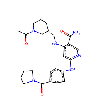 CC(=O)N1CCC[C@H](CNc2cc(Nc3ccc(C(=O)N4CCCC4)cc3)ncc2C(N)=O)C1